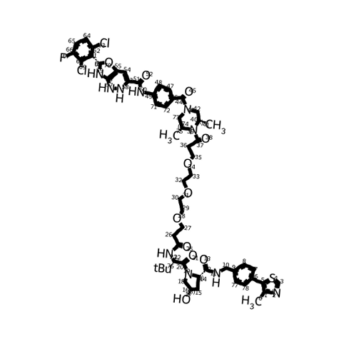 Cc1ncsc1-c1ccc(CNC(=O)[C@@H]2C[C@@H](O)CN2C(=O)[C@@H](NC(=O)CCOCCOCCOCCC(=O)N2[C@H](C)CN(C(=O)c3ccc(NC(=O)C4=CC5=C(NN4)N[C@H](c4c(Cl)ccc(F)c4Cl)O5)cc3)C[C@@H]2C)C(C)(C)C)cc1